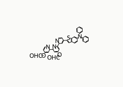 O=COc1ccnc(-c2cc(OC=O)cc(-c3cc(-c4cc5ccc(N(c6ccccc6)c6ccccc6)cc5s4)ccn3)n2)c1